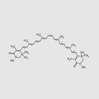 CC1=C(/C=C/C(C)=C/C=C/C(C)=C/C=C\C=C(C)\C=C\C=C(C)\C=C\C2=C(C)C(=O)[C@@H](O)CC2(C)C)C(C)(C)C[C@H](O)C1=O